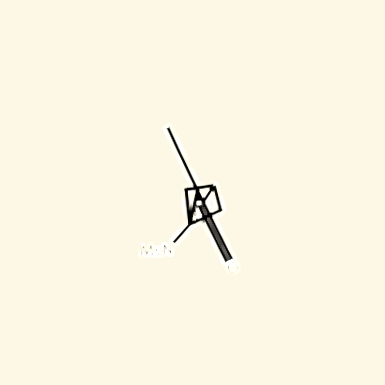 CNC12CC(C1)NC2=O